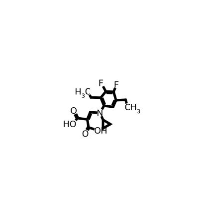 CCc1cc(N(C=C(C(=O)O)C(=O)O)C2CC2)c(CC)c(F)c1F